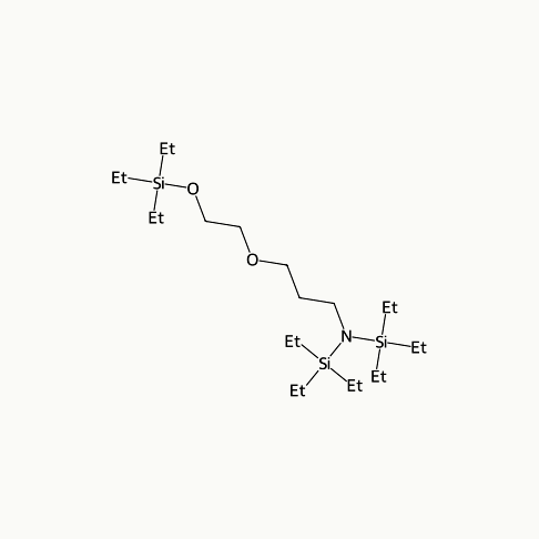 CC[Si](CC)(CC)OCCOCCCN([Si](CC)(CC)CC)[Si](CC)(CC)CC